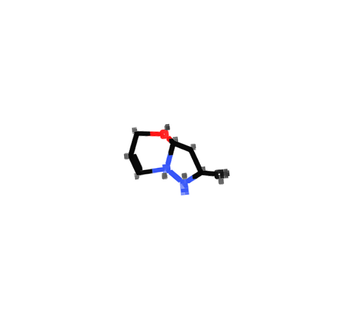 [CH]C1CC2OCC=CN2N1